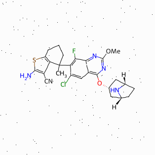 COc1nc(O[C@H]2C[C@H]3CC[C@@H](C2)N3)c2cc(Cl)c(C3(C)CCCc4sc(N)c(C#N)c43)c(F)c2n1